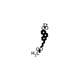 C=CC(=O)OCCCCc1ccc2c(ccc3cc(OC(=O)CC)ccc32)c1